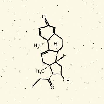 CC1C[C@H]2[C@@H]3CCC4=CC(=O)C=C[C@]4(C)C3=CC[C@]2(C)[C@H]1C(=O)CI